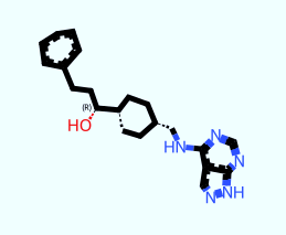 O[C@H](CCc1ccccc1)[C@H]1CC[C@@H](CNc2ncnc3[nH]ncc23)CC1